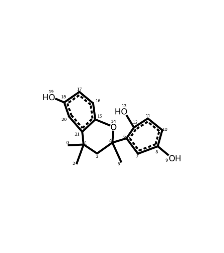 CC1(C)CC(C)(c2cc(O)ccc2O)Oc2ccc(O)cc21